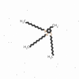 [CH2]CCc1cc(SCCCCCCCCCCCCC)c(SCCCCCCCCCCCCC)c(SCCCCCCCCCCCCC)c1